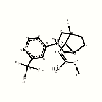 CS/C(N)=N\[C@@H]1C2CC[C@H]1CN(c1ccnc(C(F)(F)F)c1)C2